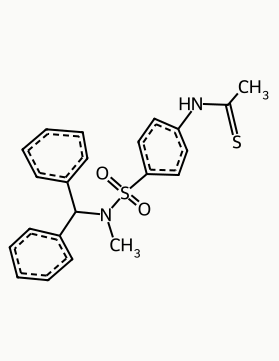 CC(=S)Nc1ccc(S(=O)(=O)N(C)C(c2ccccc2)c2ccccc2)cc1